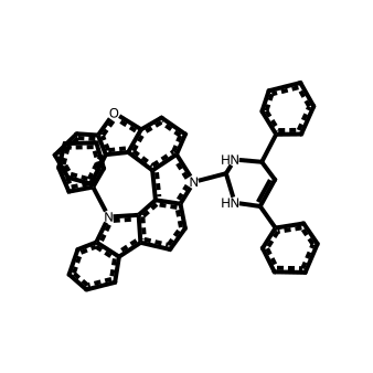 C1=C(c2ccccc2)NC(n2c3ccc4oc5ccccc5c4c3c3c4c(ccc32)c2ccccc2n4-c2ccccc2)NC1c1ccccc1